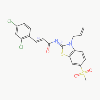 C=CCn1/c(=N/C(=O)/C=C/c2ccc(Cl)cc2Cl)sc2cc(S(C)(=O)=O)ccc21